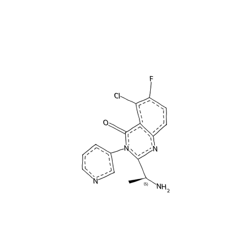 C[C@H](N)c1nc2ccc(F)c(Cl)c2c(=O)n1-c1cccnc1